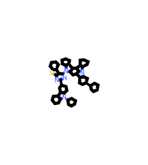 c1ccc(-c2ccc3c4cc5c(c6ccccc6n5-c5nc(-c6ccc7c(c6)c6ccccc6n7-c6ccccc6)nc6sc7ccccc7c56)c5c6ccccc6n(c3c2)c45)cc1